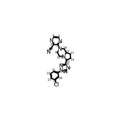 N#Cc1nccnc1N1CCN2C(CCC2c2nnn(-c3cccc(Cl)c3)n2)C1